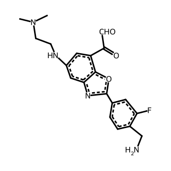 CN(C)CCNc1cc(C(=O)C=O)c2oc(-c3ccc(CN)c(F)c3)nc2c1